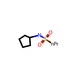 CCCS(=O)(=O)[N]C1CCCC1